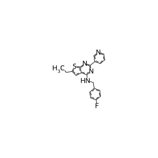 CCc1cc2c(NCc3ccc(F)cc3)nc(-c3cccnc3)nc2s1